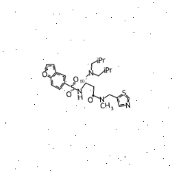 CC(C)CN(CC(C)C)C[C@H](CC(=O)N(C)Cc1cncs1)NS(=O)(=O)c1ccc2occc2c1